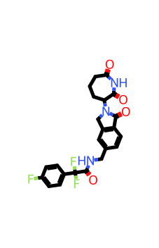 O=C1CCCC(N2Cc3cc(CNC(=O)C(F)(F)c4ccc(F)cc4)ccc3C2=O)C(=O)N1